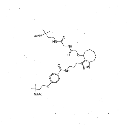 CC(=O)NC(C)(C)CCNC(=O)CNC(=O)COC1CCCCCc2nnn(CCCNC(=O)c3ccc(OCCC(C)(C)NC(C)=O)cc3)c21